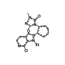 CCn1c2c(Cl)nccc2c(=O)n1-c1ccccc1-n1c(C)nn(C)c1=O